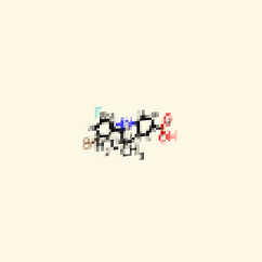 CC1(C)Cc2cc(C(=O)O)ccc2NC1c1cc(F)cc(Br)c1